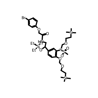 CC[Si](CC)(CC)OC(CNC(=O)COc1ccc(Br)cc1)c1ccc(OCOCC[Si](C)(C)C)c(N(COCC[Si](C)(C)C)S(C)(=O)=O)c1